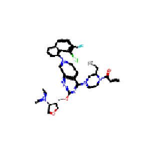 C=CC(=O)N1CCN(c2nc(OC[C@@H]3COC[C@@H]3N(C)C)nc3c2CCN(c2cccc4ccc(F)c(Cl)c24)C3)CC1CC#N